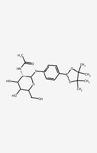 CC(=O)N[C@@H]1C(Sc2ccc(B3OC(C)(C)C(C)(C)O3)cc2)OC(CO)C(O)C1O